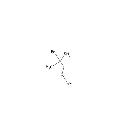 [CH2]CCOCC(C)(C)Br